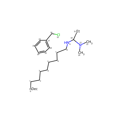 CCCCCCCCCCCCCCCCCCNC(CC)N(C)C.ClCc1ccccc1